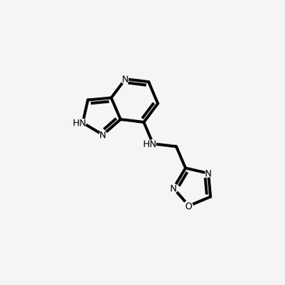 c1cc(NCc2ncon2)c2n[nH]cc2n1